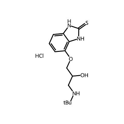 CC(C)(C)NCC(O)COc1cccc2[nH]c(=S)[nH]c12.Cl